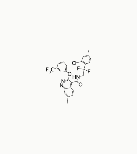 Cc1ccc(C(F)(F)CNC(=O)c2c(Oc3cccc(C(F)(F)F)c3)nnc3cc(C)ccc23)c(Cl)c1